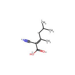 C/C(CC(C)C)=C(/C#N)C(=O)O